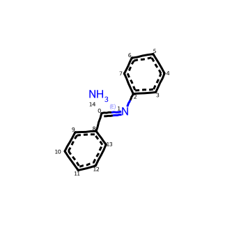 C(=N\c1ccccc1)/c1ccccc1.N